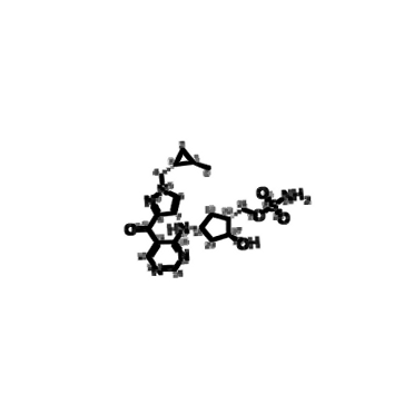 C[C@@H]1C[C@H]1Cn1ccc(C(=O)c2cncnc2N[C@@H]2C[C@H](COS(N)(=O)=O)[C@@H](O)C2)n1